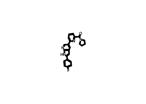 O=C(c1cccc(-c2cnc3[nH]c(-c4ccc(F)cc4)cc3c2)n1)N1CCCC1